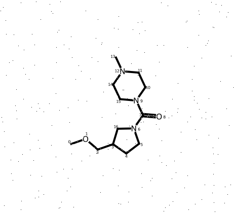 COCC1CCN(C(=O)N2CCN(C)CC2)C1